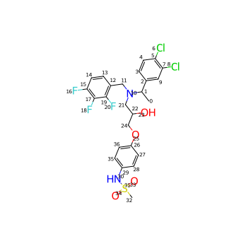 CC(c1ccc(Cl)c(Cl)c1)N(Cc1ccc(F)c(F)c1F)CC(O)COc1ccc(NS(C)(=O)=O)cc1